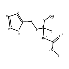 COC(=O)NC(C)(CO)CCc1cccs1